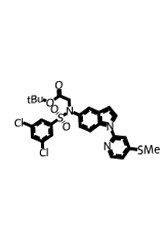 CSc1ccnc(-n2ccc3cc(N(CC(=O)OC(C)(C)C)S(=O)(=O)c4cc(Cl)cc(Cl)c4)ccc32)c1